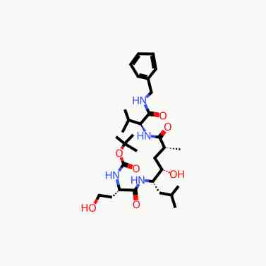 CC(C)C[C@H](NC(=O)[C@H](CCO)NC(=O)OC(C)(C)C)[C@@H](O)C[C@@H](C)C(=O)N[C@H](C(=O)NCc1ccccc1)C(C)C